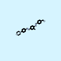 Cc1cc(/N=N/c2ccc(N3CCOCC3)cc2)ccc1/N=N/c1ccc(C=O)cc1